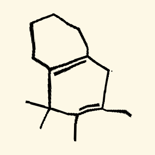 CC1=C(C)C(C)(C)C2=C([CH]1)CCCC2